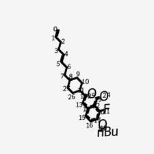 C=CCC/C=C/CCC1CCC(c2cc3ccc(OCCCC)c(F)c3c(=O)o2)CC1